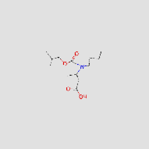 CCCCN(C(=O)OCC(C)C)C(C)CC(=O)O